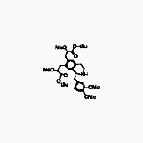 COc1ccc(C[C@H]2NCCc3cc(CC(OC)C(=O)OC(C)(C)C)c(CC(OC)C(=O)OC(C)(C)C)cc32)cc1OC